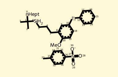 CCCCCCCC(C)(C)[SiH2]CCCc1cc([I+]c2ccccc2)ccc1OC.Cc1ccc(S(=O)(=O)[O-])cc1